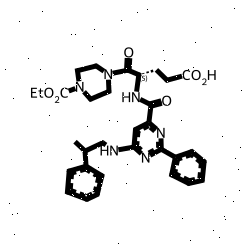 CCOC(=O)N1CCN(C(=O)[C@H](CCC(=O)O)NC(=O)c2cc(NCC(C)c3ccccc3)nc(-c3ccccc3)n2)CC1